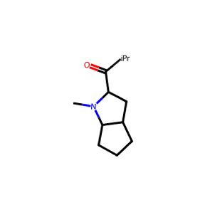 CC(C)C(=O)C1CC2CCCC2N1C